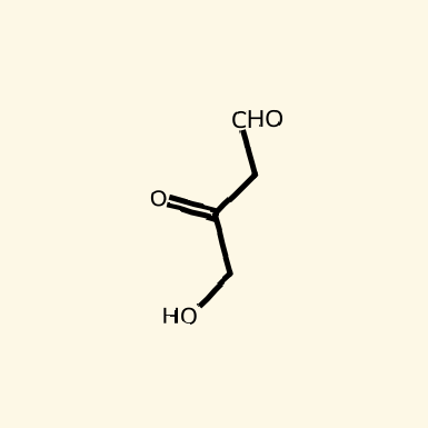 O=CCC(=O)CO